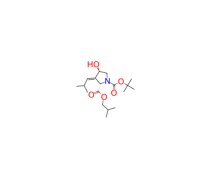 CC(C)/C=C1\[C@@H](C(=O)OCC(C)C)N(C(=O)OC(C)(C)C)C[C@@H]1O